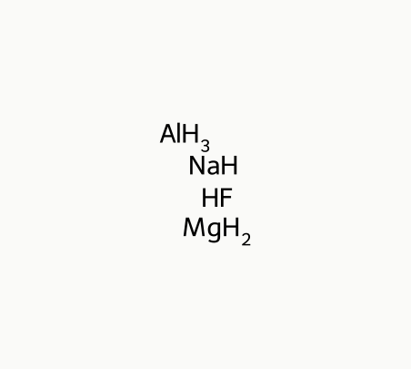 F.[AlH3].[MgH2].[NaH]